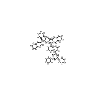 c1ccc(-c2nc(-c3ccccc3)nc(-c3cccc4c(-n5c6cc7ccccc7cc6c6cc7c8ccccc8n(-c8ccc9ccccc9c8)c7cc65)cccc34)n2)cc1